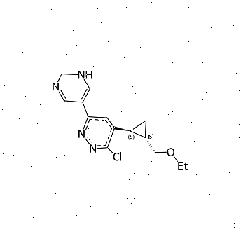 CCOC[C@H]1C[C@@H]1c1cc(C2=CNCN=C2)nnc1Cl